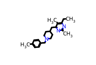 CCc1nc(C)nc(CC2CCN(Cc3ccc(C)cc3)CC2)c1C